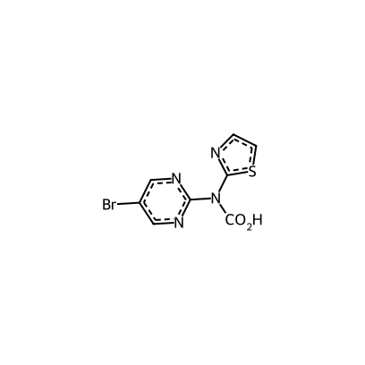 O=C(O)N(c1ncc(Br)cn1)c1nccs1